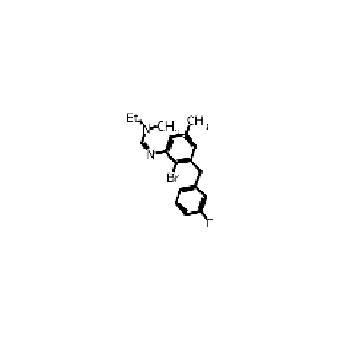 CCN(C)/C=N\c1cc(C)cc(Cc2cccc(F)c2)c1Br